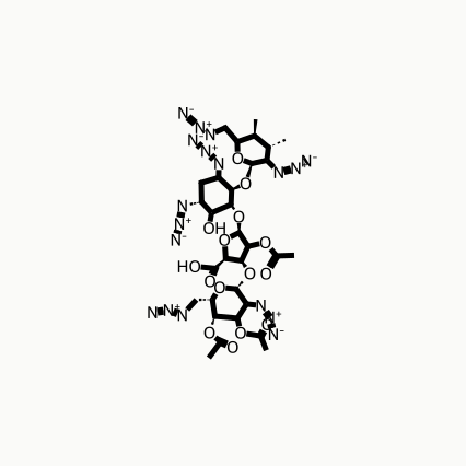 CC(=O)OC1[C@H](O[C@@H]2C(O)[C@H](N=[N+]=[N-])CC(N=[N+]=[N-])[C@H]2O[C@H]2OC(CN=[N+]=[N-])[C@@H](C)[C@H](C)C2N=[N+]=[N-])O[C@H](C(=O)O)[C@@H]1O[C@H]1O[C@@H](CN=[N+]=[N-])[C@@H](OC(C)=O)C(OC(C)=O)C1N=[N+]=[N-]